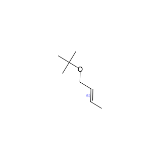 C/C=C/COC(C)(C)C